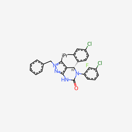 Cc1cc(Cl)ccc1[C@H]1c2c(nn(Cc3ccccc3)c2C(C)C)NC(=O)N1c1cccc(Cl)c1F